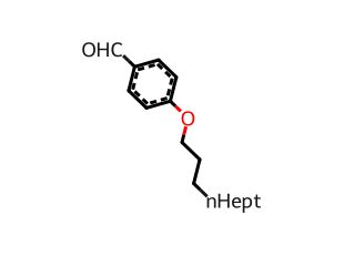 CCCCCCCCCCOc1ccc(C=O)cc1